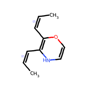 C/C=C\C1=C(/C=C\C)OC=CN1